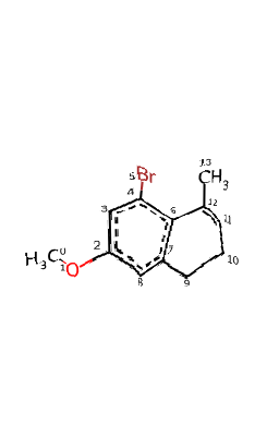 COc1cc(Br)c2c(c1)CCC=C2C